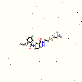 COc1ccc(Cl)cc1C(=O)N1CCCC(C(=O)NCCSSCCN(C)C)C1